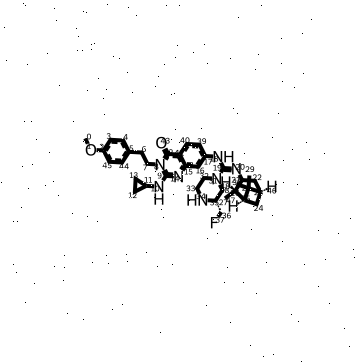 COc1ccc(CCn2c(NC3CC3)nc3cc(N/C(=N/C4C[C@H]5C[C@@H]([C@@H]4C)C5(C)C)N4CCN[C@@H](CF)C4)ccc3c2=O)cc1